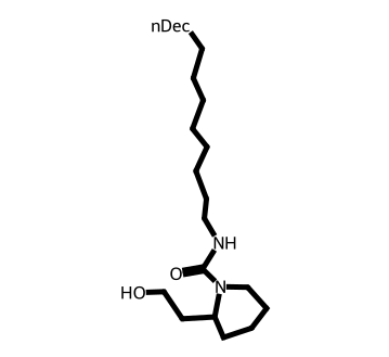 CCCCCCCCCCCCCCCCCCNC(=O)N1CCCCC1CCO